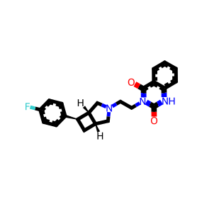 O=c1[nH]c2ccccc2c(=O)n1CCN1C[C@@H]2C[C@@H](c3ccc(F)cc3)[C@@H]2C1